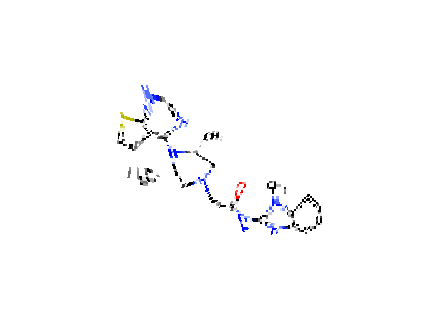 C[C@@H]1CN(CC(=O)Nc2nc3ccccc3n2C)C[C@H](C)N1c1ncnc2sccc12